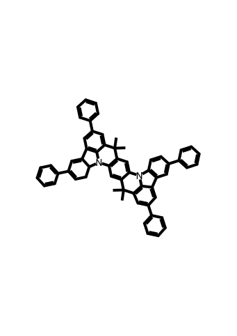 CC1(C)c2cc3c(cc2N2c4c(cc(-c5ccccc5)cc41)C1=CC(c4ccccc4)=CCC12)C(C)(C)c1cc(-c2ccccc2)cc2c4cc(-c5ccccc5)ccc4n-3c12